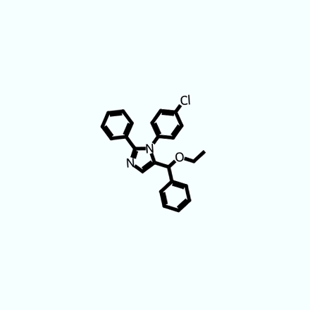 CCOC(c1ccccc1)c1cnc(-c2ccccc2)n1-c1ccc(Cl)cc1